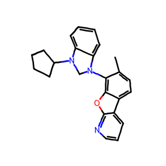 Cc1ccc2c(oc3ncccc32)c1N1CN(C2CCCC2)c2ccccc21